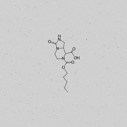 CCCCCOC(=O)N1CCN2C(=O)NCC2C1C(=O)O